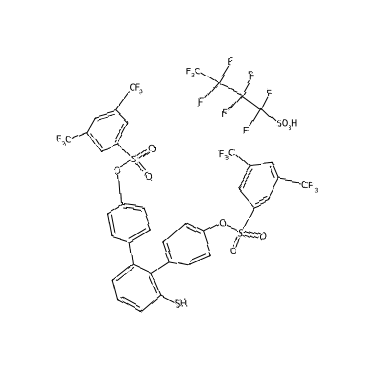 O=S(=O)(O)C(F)(F)C(F)(F)C(F)(F)C(F)(F)F.O=S(=O)(Oc1ccc(-c2cccc(S)c2-c2ccc(OS(=O)(=O)c3cc(C(F)(F)F)cc(C(F)(F)F)c3)cc2)cc1)c1cc(C(F)(F)F)cc(C(F)(F)F)c1